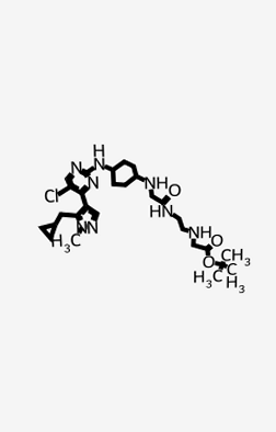 Cn1ncc(-c2nc(NC3CCC(NCC(=O)NCCNCC(=O)OC(C)(C)C)CC3)ncc2Cl)c1CC1CC1